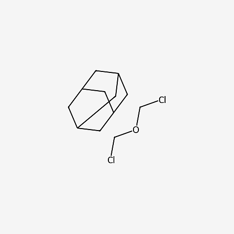 C1C2CC3CC1CC(C2)C3.ClCOCCl